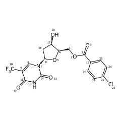 O=C(OC[C@H]1O[C@@H](n2cc(C(F)(F)F)c(=O)[nH]c2=O)C[C@H]1O)c1ccc(Cl)cc1